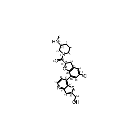 CN[C@H]1CCCN(C(=O)[C@H]2Cc3cc(Cl)cc(-c4ccnc5cc(CO)sc45)c3O2)C1